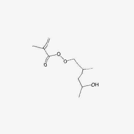 C=C(C)C(=O)OOCC(C)CC(C)O